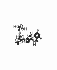 CC(Nc1nc(Cl)nc2c1ccn2[C@@H]1O[C@H](CSCP(=O)(O)O)[C@H]2OC(C)(C)O[C@H]21)c1ccc(F)cc1F